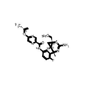 COC[C@]12C[C@H]1[C@@](C)(c1cc(NC(=O)c3cnc(O[C@@H](C)C(F)(F)F)cn3)ccc1F)N=C(N)S2